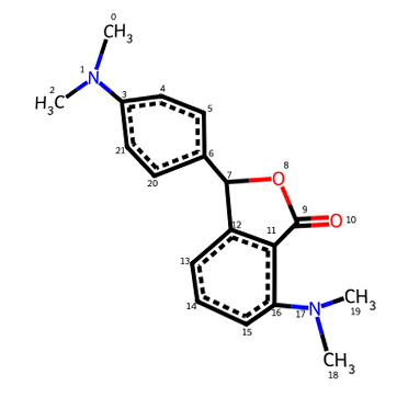 CN(C)c1ccc(C2OC(=O)c3c2cccc3N(C)C)cc1